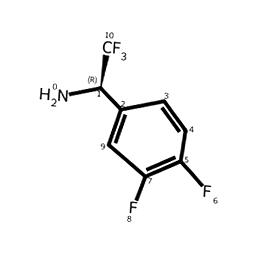 N[C@H](c1ccc(F)c(F)c1)C(F)(F)F